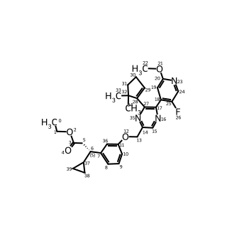 CCOC(=O)C[C@H](c1cccc(OCc2cnc(-c3cc(OC)ncc3F)c(C3=CCCC3(C)C)n2)c1)C1CC1